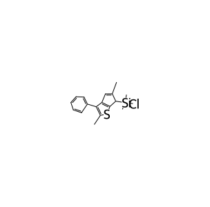 CC1=Cc2c(sc(C)c2-c2ccccc2)C1[Si](C)(C)Cl